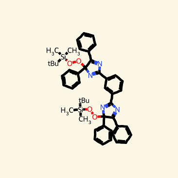 CC(C)(C)[Si](C)(C)OOC1(c2ccccc2)N=C(c2cccc(C3=NC(OO[Si](C)(C)C(C)(C)C)(c4ccccc4)C(c4ccccc4)=N3)c2)N=C1c1ccccc1